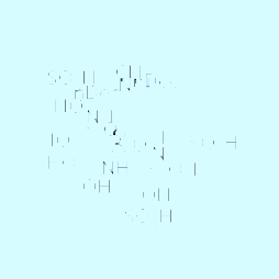 CCCCCCCCCC[N+](C)(CCCCCCCCCC)CCC[Si](OCC(CO)(CO)NCCCS(=O)(=O)O)(OCC(CO)(CO)NCCS(=O)(=O)O)OCC(CO)(CO)NCCS(=O)(=O)O